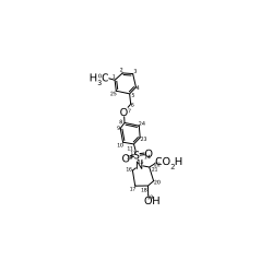 Cc1cccc(COc2ccc(S(=O)(=O)N3CCC(O)CC3C(=O)O)cc2)c1